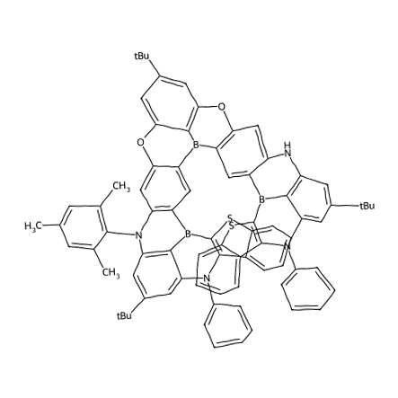 Cc1cc(C)c(N2c3cc4c(cc3B3c5sc6ccccc6c5N(c5ccccc5)c5cc(C(C)(C)C)cc2c53)B2c3cc5c(cc3Oc3cc(C(C)(C)C)cc(c32)O4)Nc2cc(C(C)(C)C)cc3c2B5c2sc4ccccc4c2N3c2ccccc2)c(C)c1